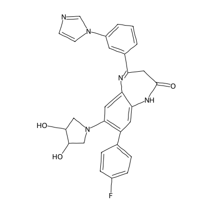 O=C1CC(c2cccc(-n3ccnc3)c2)=Nc2cc(N3CC(O)C(O)C3)c(-c3ccc(F)cc3)cc2N1